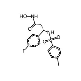 Cc1ccc(S(=O)(=O)N[C@@H](CC(=O)NO)c2ccc(F)cc2)cc1